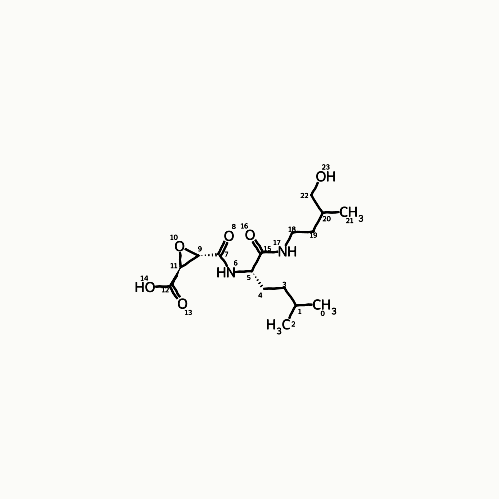 CC(C)CC[C@H](NC(=O)[C@H]1O[C@@H]1C(=O)O)C(=O)NCCC(C)CO